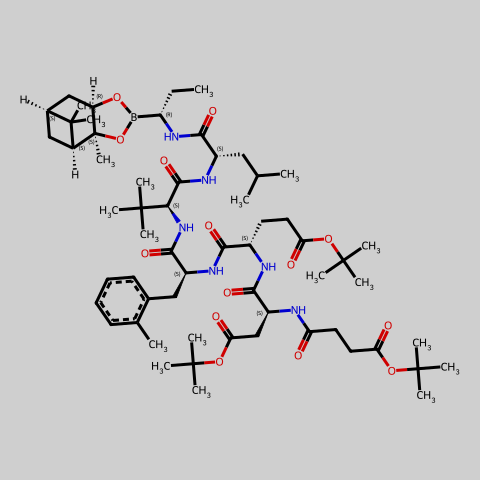 CC[C@H](NC(=O)[C@H](CC(C)C)NC(=O)[C@@H](NC(=O)[C@H](Cc1ccccc1C)NC(=O)[C@H](CCC(=O)OC(C)(C)C)NC(=O)[C@H](CC(=O)OC(C)(C)C)NC(=O)CCC(=O)OC(C)(C)C)C(C)(C)C)B1O[C@@H]2C[C@@H]3C[C@@H](C3(C)C)[C@]2(C)O1